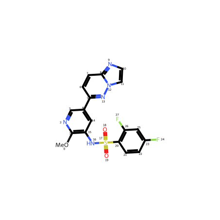 COc1ncc(-c2ccc3nccn3n2)cc1NS(=O)(=O)c1ccc(F)cc1F